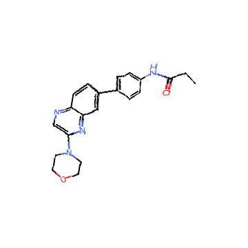 CCC(=O)Nc1ccc(-c2ccc3ncc(N4CCOCC4)nc3c2)cc1